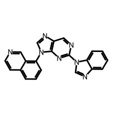 c1cc(-n2cnc3cnc(-n4cnc5ccccc54)nc32)c2cnccc2c1